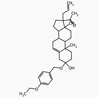 C=CCC1(C(C)=O)CCC2C3CC=C4CC(O)(OCc5ccc(OCC)cc5)CCC4(C)C3CCC21C